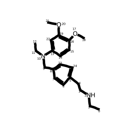 CCNCCc1ccc(CN(CC)c2ccc(OC)c(OC)c2)cc1